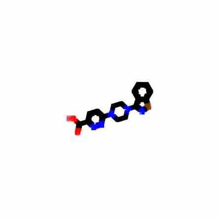 O=C(O)c1ccc(N2CCN(c3nsc4ccccc34)CC2)nn1